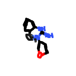 N=C(Nc1ccoc1)Nc1ccccc1C(F)(F)F